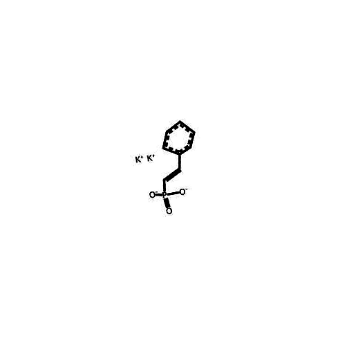 O=P([O-])([O-])C=Cc1ccccc1.[K+].[K+]